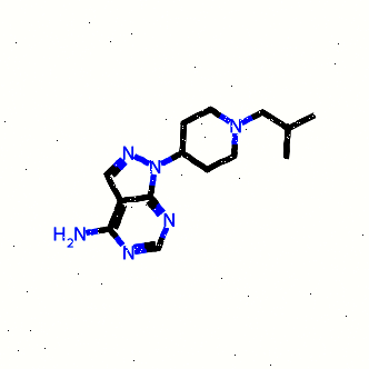 C[C](C)CN1CCC(n2ncc3c(N)ncnc32)CC1